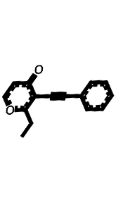 CCc1occc(=O)c1C#Cc1ccccc1